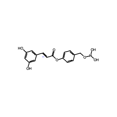 O=C(/C=C/c1cc(O)cc(O)c1)Oc1ccc(CON(O)O)cc1